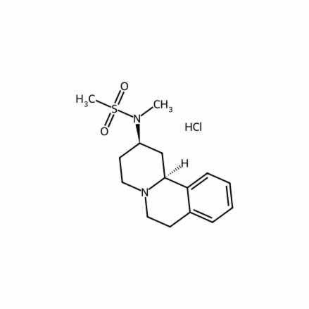 CN([C@@H]1CCN2CCc3ccccc3[C@@H]2C1)S(C)(=O)=O.Cl